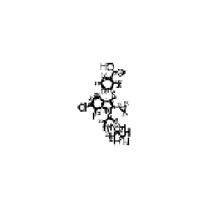 [2H]C([2H])([2H])C([2H])([2H])n1cc(-n2c(C3CC3)c(Sc3cccc(C(=O)O)c3F)c3ccc(Cl)c(F)c32)cn1